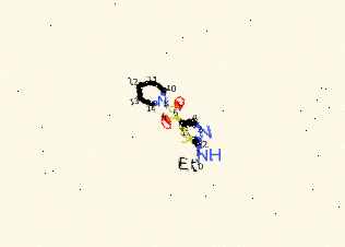 CCNc1ncc(S(=O)(=O)N2CCCCC2)s1